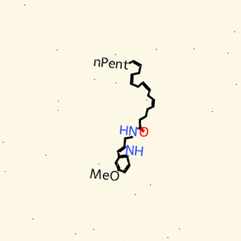 CCCCC/C=C\C/C=C\C/C=C\C/C=C\CCCC(=O)NCCc1cc2cc(OC)ccc2[nH]1